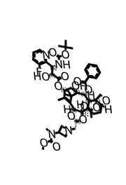 COC(=O)N(C)C1CN(C[C@@H]2O[C@@H]3C4=C(C)[C@@H](OC(=O)[C@H](O)[C@@H](NC(=O)OC(C)(C)C)c5ncccc5F)C[C@@](O)([C@@H](OC(=O)c5ccccc5)[C@H]5[C@@](C)(CC[C@H]6OC[C@]65OC(C)=O)[C@@H]3O2)C4(C)C)C1